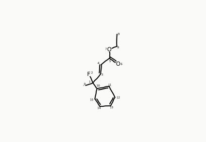 [CH2]C(F)(C=CC(=O)OCC)c1ccccc1